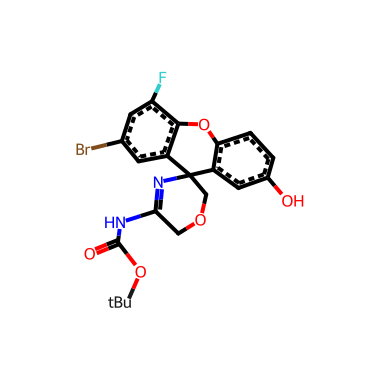 CC(C)(C)OC(=O)NC1=NC2(COC1)c1cc(O)ccc1Oc1c(F)cc(Br)cc12